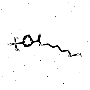 CNCCCCCNC(=O)c1ccc([Si](C)(C)O)cc1